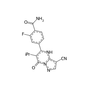 CC(C)c1c(-c2ccc(C(N)=O)c(F)c2)[nH]c2c(C#N)cnn2c1=O